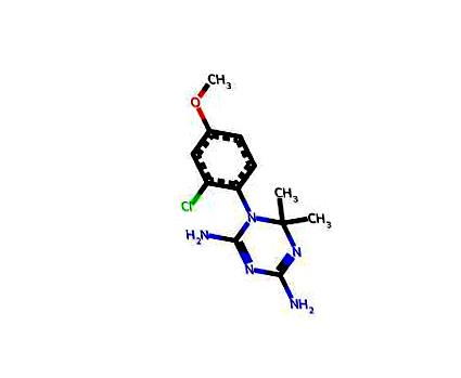 COc1ccc(N2C(N)=NC(N)=NC2(C)C)c(Cl)c1